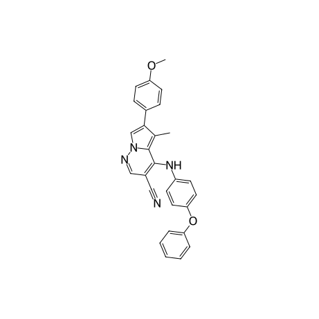 COc1ccc(-c2cn3ncc(C#N)c(Nc4ccc(Oc5ccccc5)cc4)c3c2C)cc1